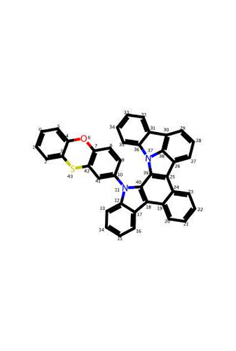 c1ccc2c(c1)Oc1ccc(-n3c4ccccc4c4c5ccccc5c5c6cccc7c8ccccc8n(c76)c5c43)cc1S2